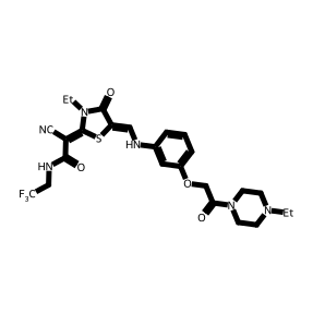 CCN1CCN(C(=O)COc2cccc(NC=c3sc(=C(C#N)C(=O)NCC(F)(F)F)n(CC)c3=O)c2)CC1